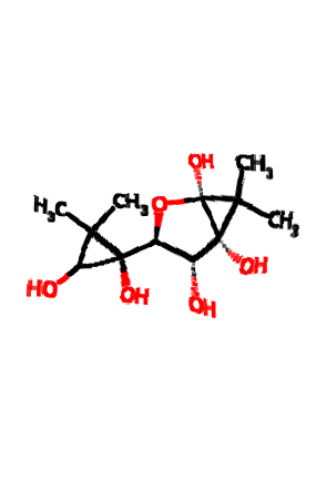 CC1(C)C(O)[C@@]1(O)[C@H]1O[C@@]2(O)C(C)(C)[C@@]2(O)[C@@H]1O